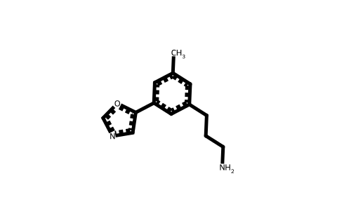 Cc1cc(CCCN)cc(-c2cnco2)c1